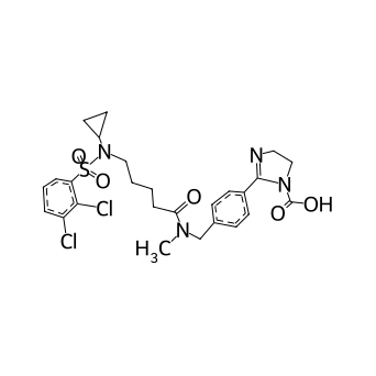 CN(Cc1ccc(C2=NCCN2C(=O)O)cc1)C(=O)CCCCN(C1CC1)S(=O)(=O)c1cccc(Cl)c1Cl